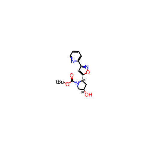 CC(C)(C)OC(=O)N1C[C@H](O)C[C@H]1c1cc(-c2ccccn2)no1